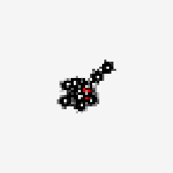 c1ccc(-c2ccc(-c3nc(-c4ccccc4)nc(-c4ccc5ccccc5c4N4c5ccccc5-c5ccccc5-n5c4nc4ccccc45)n3)cc2)cc1